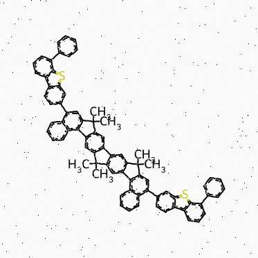 CC1(C)c2cc3c(cc2-c2cc4c(cc21)-c1c(cc(-c2ccc5c(c2)sc2c(-c6ccccc6)cccc25)c2ccccc12)C4(C)C)C(C)(C)c1cc(-c2ccc4c(c2)sc2c(-c5ccccc5)cccc24)c2ccccc2c1-3